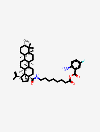 C=C(C)[C@@H]1CC[C@]2(C(=O)NCCCCCCCC(=O)OC(=O)c3cc(F)ccc3N)CC[C@]3(C)[C@H](CCC4[C@@]5(C)CC[C@H](OC(C)=O)C(C)(C)[C@@H]5CC[C@]43C)[C@@H]12